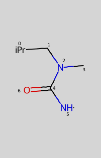 CC(C)CN(C)C([NH])=O